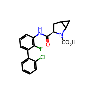 O=C(Nc1cccc(-c2ccccc2Cl)c1F)[C@H]1CC2CC2N1C(=O)O